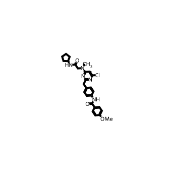 COc1ccc(C(=O)Nc2ccc(Cc3nc(Cl)[c]c(N(C)CC(=O)NC4CCCC4)n3)cc2)cc1